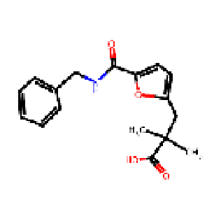 CC(C)(Cc1ccc(C(=O)NCc2ccccc2)o1)C(=O)O